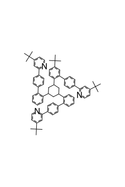 CC(C)(C)c1ccnc(-c2ccc(-c3ccccc3C3CC(c4ccccc4-c4ccc(-c5cc(C(C)(C)C)ccn5)cc4)CC(c4ccc(C(C)(C)C)cc4-c4ccc(-c5cc(C(C)(C)C)ccn5)cc4)C3)cc2)c1